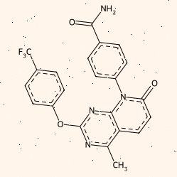 Cc1nc(Oc2ccc(C(F)(F)F)cc2)nc2c1ccc(=O)n2-c1ccc(C(N)=O)cc1